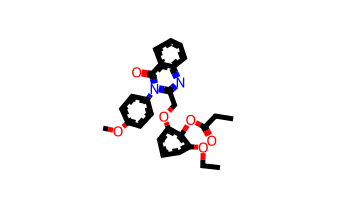 CCOc1cccc(OCc2nc3ccccc3c(=O)n2-c2ccc(OC)cc2)c1OC(=O)CC